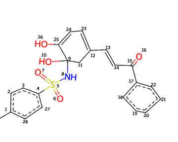 Cc1ccc(S(=O)(=O)NC2(O)CC(C=CC(=O)c3ccccc3)=CC=C2O)cc1